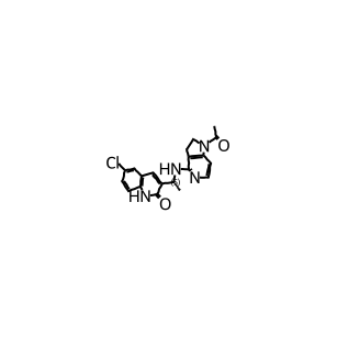 CC(=O)N1CCc2c1ccnc2N[C@@H](C)c1cc2cc(Cl)ccc2[nH]c1=O